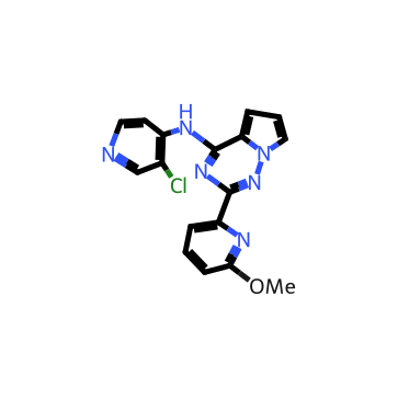 COc1cccc(-c2nc(Nc3ccncc3Cl)c3cccn3n2)n1